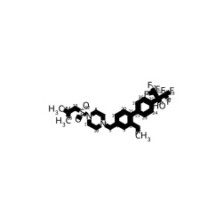 CCc1cc(CN2CCN(S(=O)(=O)CC(C)C)CC2)ccc1-c1ccc(C(O)(C(F)(F)F)C(F)(F)F)cc1